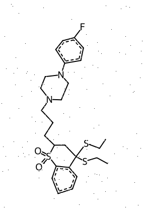 CCSC1(SCC)CC(CCCN2CCN(c3ccc(F)cc3)CC2)S(=O)(=O)c2ccccc21